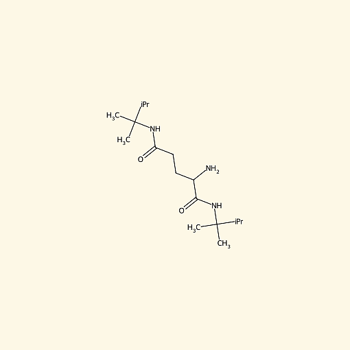 CC(C)C(C)(C)NC(=O)CCC(N)C(=O)NC(C)(C)C(C)C